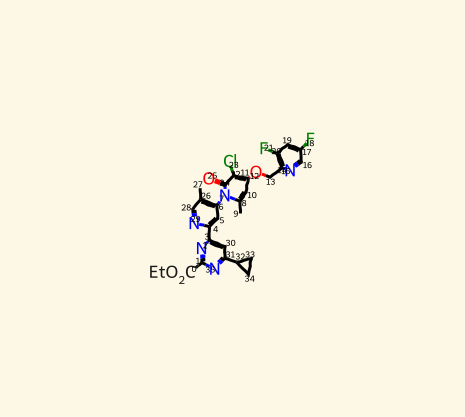 CCOC(=O)c1nc(-c2cc(-n3c(C)cc(OCc4ncc(F)cc4F)c(Cl)c3=O)c(C)cn2)cc(C2CC2)n1